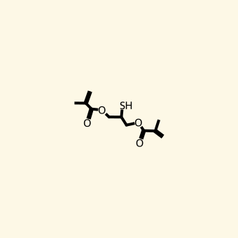 C=C(C)C(=O)OCC(S)COC(=O)C(=C)C